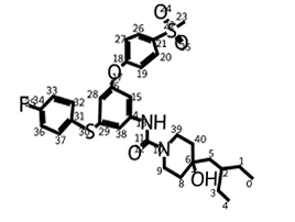 CCC(CC)CC1(O)CCN(C(=O)Nc2cc(Oc3ccc(S(C)(=O)=O)cc3)cc(Sc3ccc(F)cc3)c2)CC1